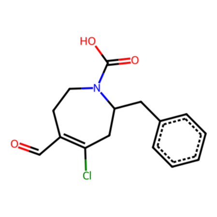 O=CC1=C(Cl)CC(Cc2ccccc2)N(C(=O)O)CC1